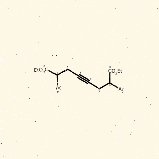 CCOC(=O)C(CC#CCC(C(C)=O)C(=O)OCC)C(C)=O